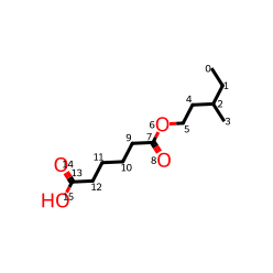 CCC(C)CCOC(=O)CCCCC(=O)O